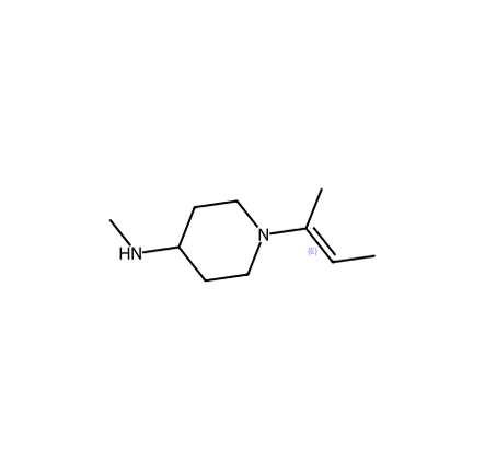 C/C=C(\C)N1CCC(NC)CC1